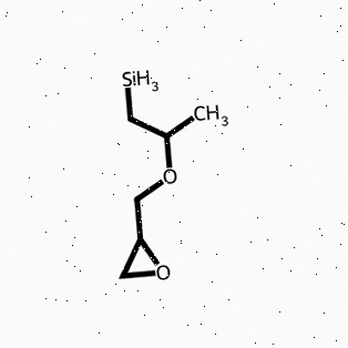 CC(C[SiH3])OCC1CO1